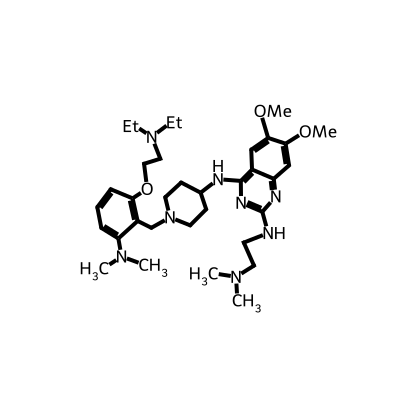 CCN(CC)CCOc1cccc(N(C)C)c1CN1CCC(Nc2nc(NCCN(C)C)nc3cc(OC)c(OC)cc23)CC1